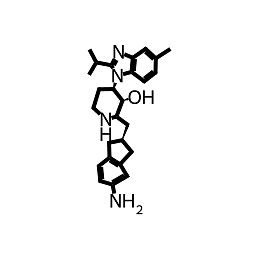 Cc1ccc2c(c1)nc(C(C)C)n2[C@@H]1CCNC(C[C@@H]2Cc3ccc(N)cc3C2)[C@H]1O